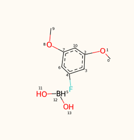 COc1cc(F)cc(OC)c1.OBO